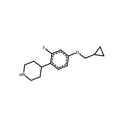 Fc1cc(OCC2CC2)ccc1C1CCNCC1